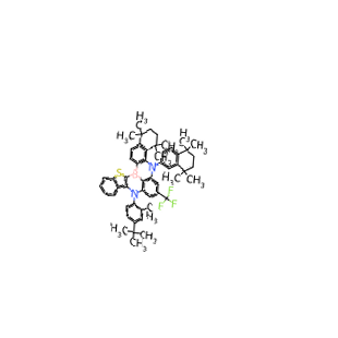 Cc1cc(C(C)(C)C)ccc1N1c2cc(C(F)(F)F)cc3c2B(c2ccc4c(c2N3c2ccc3c(c2)C(C)(C)CCC3(C)C)C(C)(C)CCC4(C)C)c2sc3ccccc3c21